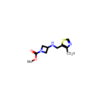 CC(C)(C)OC(=O)N1CC(NCc2scnc2C(=O)O)C1